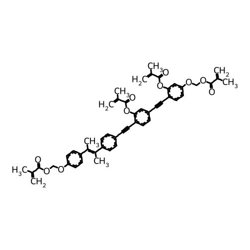 C=C(C)C(=O)OCOc1ccc(/C(C)=C(\C)c2ccc(C#Cc3ccc(C#Cc4ccc(OCOC(=O)C(=C)C)cc4OC(=O)C(=C)C)cc3OC(=O)C(=C)C)cc2)cc1